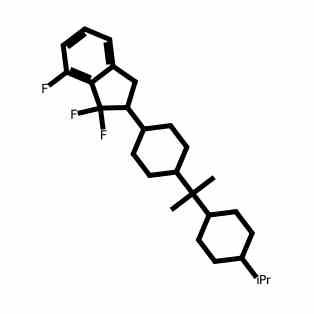 CC(C)C1CCC(C(C)(C)C2CCC(C3Cc4cccc(F)c4C3(F)F)CC2)CC1